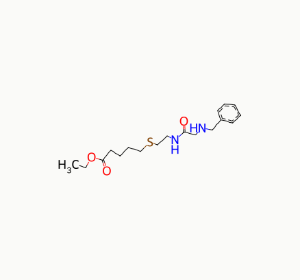 CCOC(=O)CCCCSCCNC(=O)CNCc1ccccc1